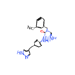 N#Cc1cccc(CN(C=N)C(=O)Nc2ccc(-c3cn[nH]c3)cc2)c1